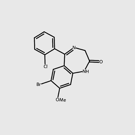 COc1cc2c(cc1Br)C(c1ccccc1Cl)=NCC(=O)N2